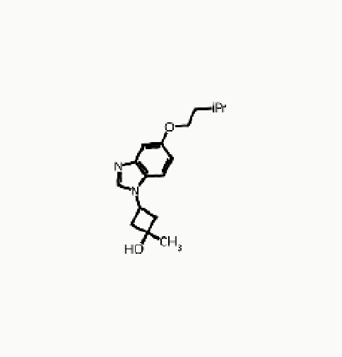 CC(C)CCOc1ccc2c(c1)ncn2C1CC(C)(O)C1